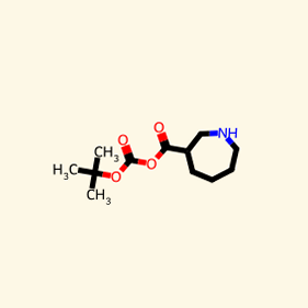 CC(C)(C)OC(=O)OC(=O)C1CCCCNC1